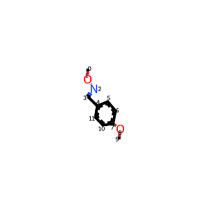 CO/N=C/c1ccc(OC)cc1